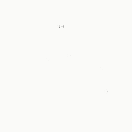 CCOc1ccc(CC(=O)OC2(c3ccccc3)CCNCC2)cc1OCC